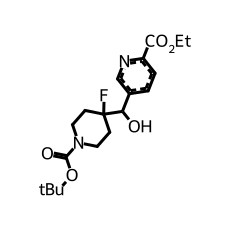 CCOC(=O)c1ccc(C(O)C2(F)CCN(C(=O)OC(C)(C)C)CC2)cn1